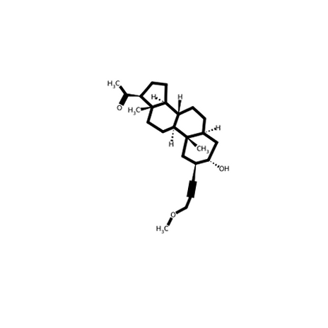 COCC#C[C@H]1C[C@@]2(C)[C@@H](CC[C@@H]3[C@@H]2CC[C@]2(C)[C@@H](C(C)=O)CC[C@@H]32)C[C@@H]1O